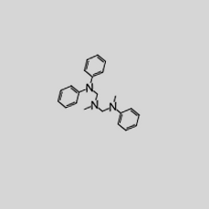 CN(CN(C)c1ccccc1)CN(c1ccccc1)c1ccccc1